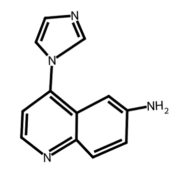 Nc1ccc2nccc(-n3ccnc3)c2c1